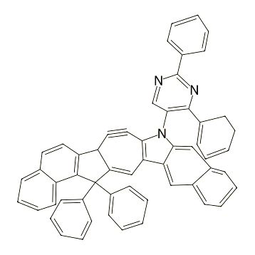 C1#CC2C(=Cc3c1n(-c1cnc(-c4ccccc4)nc1C1=CC=CCC1)c1cc4ccccc4cc31)C(c1ccccc1)(c1ccccc1)c1c2ccc2ccccc12